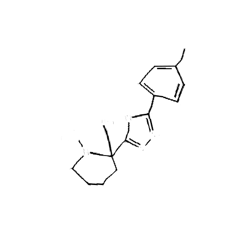 Cc1ccc(-c2nnc(C3(C(C)(C)C)CCCCN3C(=O)O)[nH]2)cc1